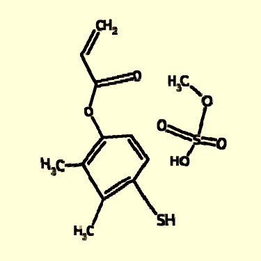 C=CC(=O)Oc1ccc(S)c(C)c1C.COS(=O)(=O)O